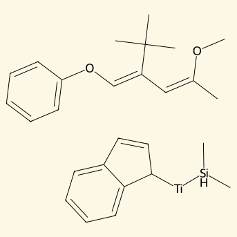 COC(C)=CC(=COc1ccccc1)C(C)(C)C.C[SiH](C)[Ti][CH]1C=Cc2ccccc21